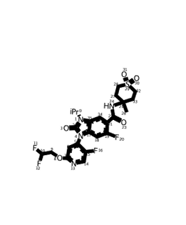 CC(C)n1c(=O)n(-c2cc(OCC(F)F)ncc2F)c2cc(F)c(C(=O)NC3(C)CCS(=O)(=O)CC3)cc21